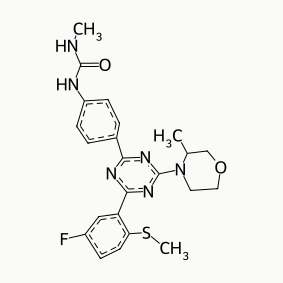 CNC(=O)Nc1ccc(-c2nc(-c3cc(F)ccc3SC)nc(N3CCOCC3C)n2)cc1